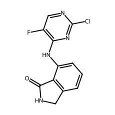 O=C1NCc2cccc(Nc3nc(Cl)ncc3F)c21